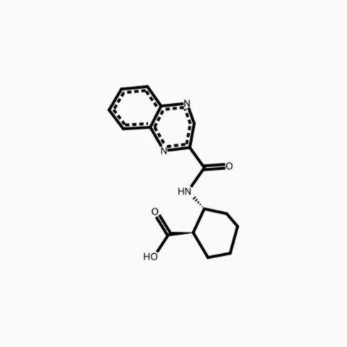 O=C(N[C@@H]1CCCC[C@H]1C(=O)O)c1cnc2ccccc2n1